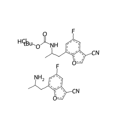 CC(Cc1cc(F)cc2c(C#N)coc12)NC(=O)OC(C)(C)C.CC(N)Cc1cc(F)cc2c(C#N)coc12.Cl